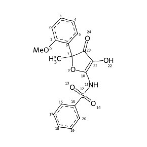 COc1ccccc1C1(C)OC(NS(=O)(=O)c2ccccc2)=C(O)C1=O